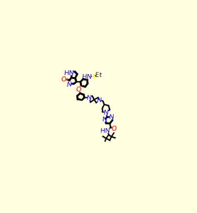 CCSNc1ccc(Oc2cccc(N3CC4(CN(CC5CCN(c6ncc(C(=O)NC7C(C)(C)CC7(C)C)cn6)CC5)C4)C3)c2)c(-c2cn(C)c(=O)c3[nH]ccc23)c1